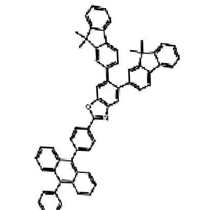 CC1(C)c2ccccc2-c2ccc(-c3cc4nc(-c5ccc(-c6c7ccccc7c(-c7ccccc7)c7ccccc67)cc5)oc4cc3-c3ccc4c(c3)C(C)(C)c3ccccc3-4)cc21